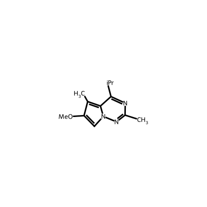 COc1cn2nc(C)nc(C(C)C)c2c1C